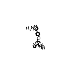 Nc1nccc(-c2ccc(OCC3COC(Cn4cncn4)(c4cccs4)O3)cc2)n1